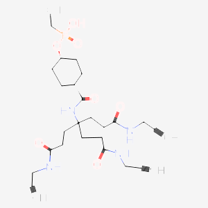 C#CCNC(=O)CCC(CCC(=O)NCC#C)(CCC(=O)NCC#C)NC(=O)[C@H]1CC[C@@H](OP(=O)(O)CC)CC1